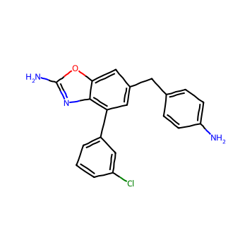 Nc1ccc(Cc2cc(-c3cccc(Cl)c3)c3nc(N)oc3c2)cc1